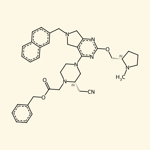 CN1CCC[C@H]1COc1nc2c(c(N3CCN(CC(=O)OCc4ccccc4)[C@@H](CC#N)C3)n1)CN(Cc1ccc3ccccc3c1)C2